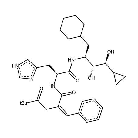 CC(C)(C)C(=O)CC(=Cc1ccccc1)C(=O)N[C@@H](Cc1c[nH]cn1)C(=O)N[C@@H](CC1CCCCC1)[C@@H](O)[C@@H](O)C1CC1